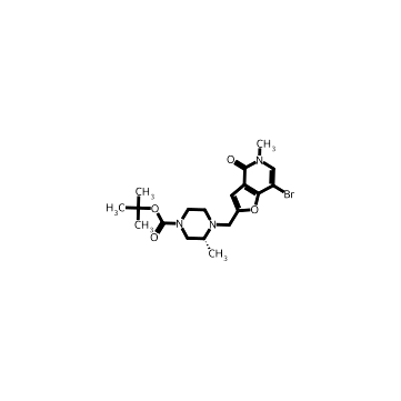 C[C@@H]1CN(C(=O)OC(C)(C)C)CCN1Cc1cc2c(=O)n(C)cc(Br)c2o1